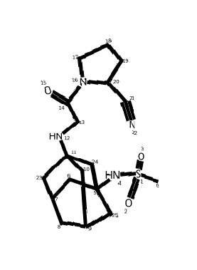 CS(=O)(=O)NC12CC3CC(CC(NCC(=O)N4CCCC4C#N)(C3)C1)C2